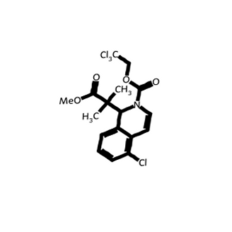 COC(=O)C(C)(C)C1c2cccc(Cl)c2C=CN1C(=O)OCC(Cl)(Cl)Cl